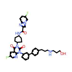 O=C(NC1CCC(n2c(=O)c3cc(F)cnc3n(-c3cccc(-c4ccc(CCCNCCCO)cc4)c3)c2=O)CC1)c1cn2cc(F)ccc2n1